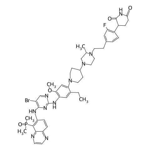 CCc1cc(Nc2ncc(Br)c(Nc3ccc4nccnc4c3P(C)(C)=O)n2)c(OC)cc1N1CCC(N2CCN(CCc3ccc(C4CCC(=O)NC4=O)c(F)c3)C(C)C2)CC1